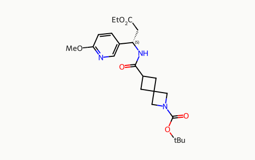 CCOC(=O)C[C@H](NC(=O)C1CC2(C1)CN(C(=O)OC(C)(C)C)C2)c1ccc(OC)nc1